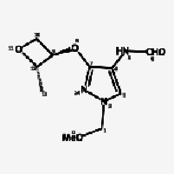 COCn1cc(NC=O)c(O[C@@H]2CO[C@H]2C)n1